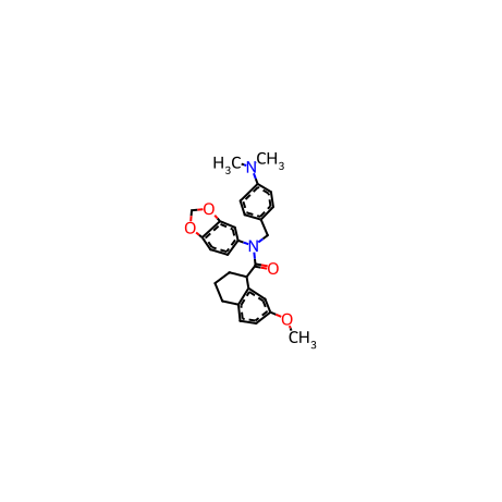 COc1ccc2c(c1)C(C(=O)N(Cc1ccc(N(C)C)cc1)c1ccc3c(c1)OCO3)CCC2